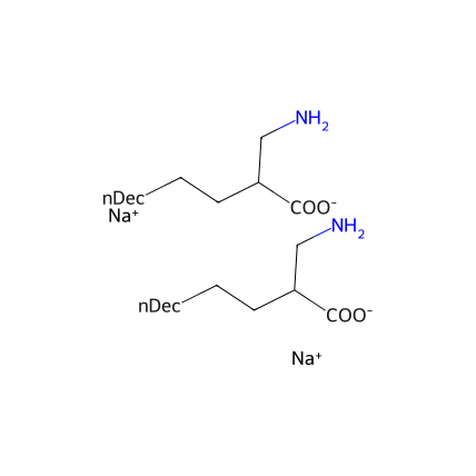 CCCCCCCCCCCCC(CN)C(=O)[O-].CCCCCCCCCCCCC(CN)C(=O)[O-].[Na+].[Na+]